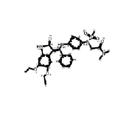 CCOc1cc2c(cc1OCC)/C(=C(/Nc1ccc(N(CC(=O)N(C)C)S(C)(=O)=O)cc1)c1ccccc1)C(=O)N2